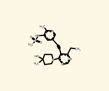 CCc1ncnc(N2CCC(C)(O)CC2)c1C#Cc1cnc(C)c(NS(C)(=O)=O)c1